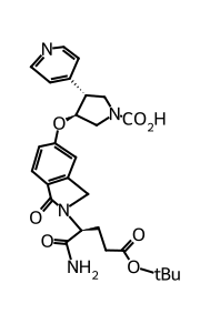 CC(C)(C)OC(=O)CC[C@@H](C(N)=O)N1Cc2cc(O[C@@H]3CN(C(=O)O)C[C@H]3c3ccncc3)ccc2C1=O